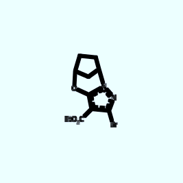 CCOC(=O)c1c(Br)nn2c1OC1CCC2C1